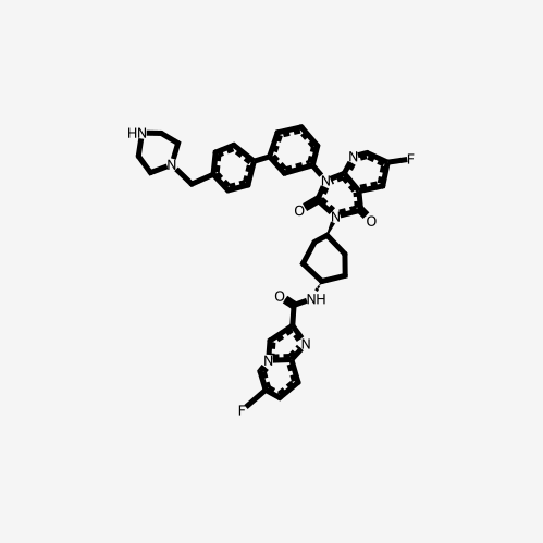 O=C(N[C@H]1CC[C@H](n2c(=O)c3cc(F)cnc3n(-c3cccc(-c4ccc(CN5CCNCC5)cc4)c3)c2=O)CC1)c1cn2cc(F)ccc2n1